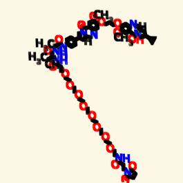 COc1cc2c(cc1OCCCOc1cc3c(cc1OC)C(O)N1C=C(C4CC4)C[C@H]1C=N3)N=C[C@@H]1CC(c3ccc(NC(=O)[C@H](C)NC(=O)[C@@H](NC(=O)CCOCCOCCOCCOCCOCCOCCOCCOCCNC(=O)CCN4C(=O)C=CC4=O)C(C)C)cc3)=CN1C2=O